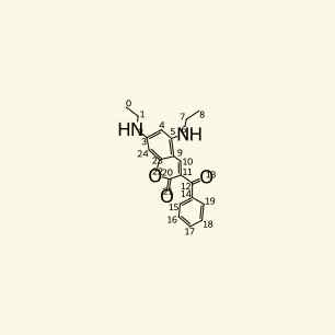 CCNc1cc(NCC)c2cc(C(=O)c3ccccc3)c(=O)oc2c1